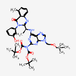 Cc1cccc2nc(C(C)Nc3nc(N(C(=O)OC(C)(C)C)C(=O)OC(C)(C)C)nc4c3ncn4COC[Si](C)(C)C)n(-c3cccc(O)c3)c(=O)c12